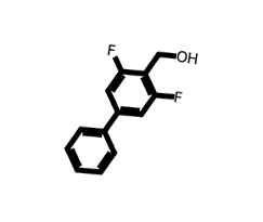 OCc1c(F)cc(-c2ccccc2)cc1F